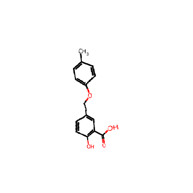 Cc1ccc(OCc2ccc(O)c(C(=O)O)c2)cc1